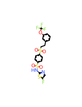 O=S(=O)(CCc1cccc(OC(F)(F)F)c1)c1ccc(S(=O)(=O)Nc2ncc(F)s2)cc1